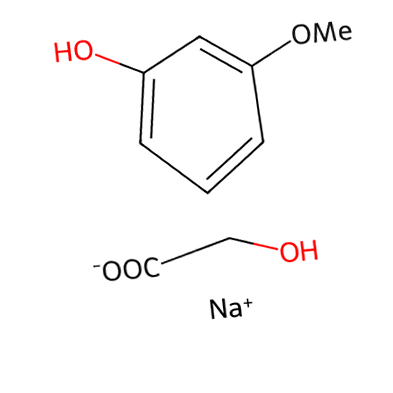 COc1cccc(O)c1.O=C([O-])CO.[Na+]